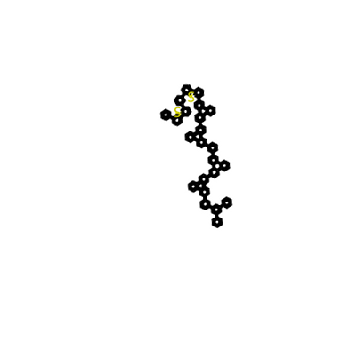 C1=CC2c3ccccc3-c3cc(-c4cccc(-c5ccc6c7ccccc7c7cc(-c8ccc9c%10ccc(-c%11cccc%12c%11sc%11c(-c%13cccc(-c%14cccc%15c%14sc%14c(-c%16ccccc%16)cccc%14%15)c%13)cccc%11%12)cc%10c%10ccccc%10c9c8)ccc7c6c5)c4)ccc3C2C=C1c1ccc2c3ccccc3c3cc(-c4cccc(-c5cc(-c6ccccc6)cc(-c6ccccc6)c5)c4)ccc3c2c1